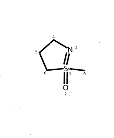 CS1(=O)=NCCC1